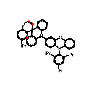 CC(C)c1cc(C(C)C)c(B2c3ccccc3Oc3cc(N4c5ccccc5C5(c6ccccc6Oc6ccc(C(C)C)cc65)c5ccccc54)ccc32)c(C(C)C)c1